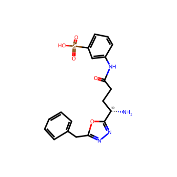 N[C@@H](CCC(=O)Nc1cccc(S(=O)(=O)O)c1)c1nnc(Cc2ccccc2)o1